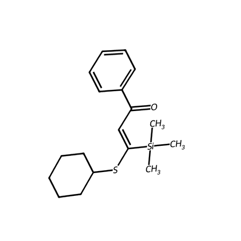 C[Si](C)(C)/C(=C\C(=O)c1ccccc1)SC1CCCCC1